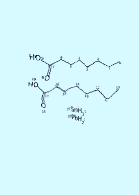 CCCCCCCC(=O)O.CCCCCCCC(=O)O.[PbH2].[SnH2]